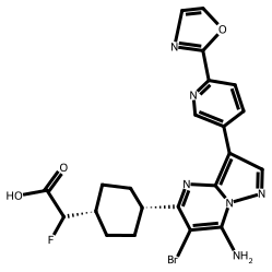 Nc1c(Br)c([C@H]2CC[C@@H](C(F)C(=O)O)CC2)nc2c(-c3ccc(-c4ncco4)nc3)cnn12